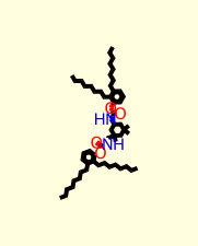 CCCCCCCCc1cccc(OC(=O)NCC2(C)CC(NC(=O)Oc3cccc(CCCCCCCC)c3CCCCCCCC)CC(C)(C)C2)c1CCCCCCCC